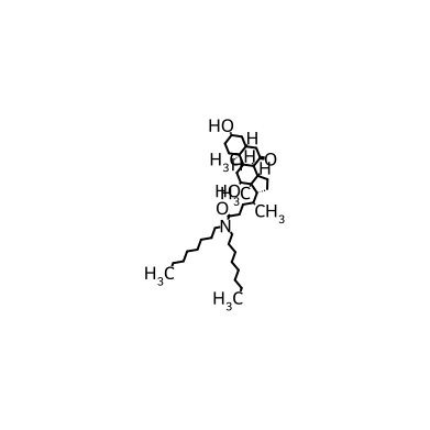 CCCCCCCCN(CCCCCCCC)C(=O)CC[C@@H](C)[C@H]1CC[C@H]2[C@@H]3C(=O)C[C@@H]4C[C@H](O)CC[C@]4(C)[C@H]3C[C@H](O)[C@]12C